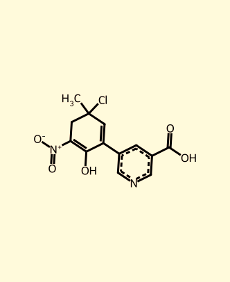 CC1(Cl)C=C(c2cncc(C(=O)O)c2)C(O)=C([N+](=O)[O-])C1